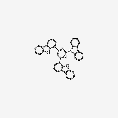 c1ccc2c(c1)oc1c(-c3cc(-c4cccc5c4oc4ccccc45)nc(-n4c5ccccc5c5ccccc54)n3)cccc12